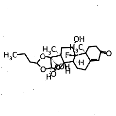 CCCC1O[C@@H]2C[C@H]3[C@@H]4CCC5=CC(=O)CC[C@]5(C)[C@@]4(F)[C@@H](O)C[C@]3(C)[C@]2(C(=O)O)O1